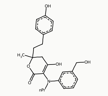 CCCN(C1=C(O)CC(C)(CCc2ccc(O)cc2)OC1=O)c1cccc(CO)c1